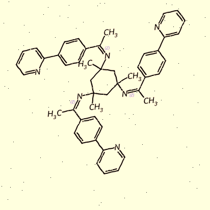 C/C(=N/C1(C)CC(C)(/N=C(/C)c2ccc(-c3ccccn3)cc2)CC(C)(/N=C(/C)c2ccc(-c3ccccn3)cc2)C1)c1ccc(-c2ccccn2)cc1